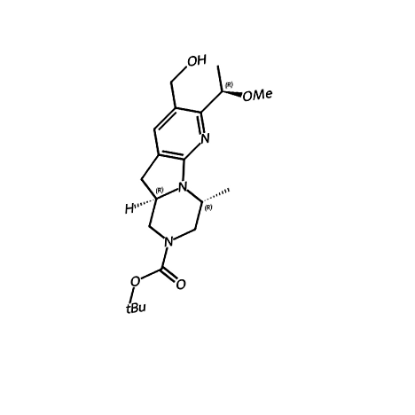 CO[C@H](C)c1nc2c(cc1CO)C[C@@H]1CN(C(=O)OC(C)(C)C)C[C@@H](C)N21